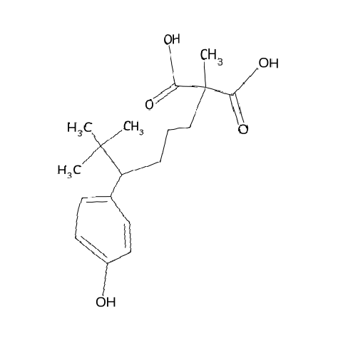 CC(CCCC(c1ccc(O)cc1)C(C)(C)C)(C(=O)O)C(=O)O